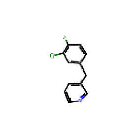 Fc1ccc(Cc2cccnc2)cc1Cl